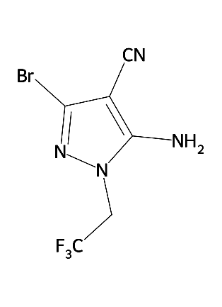 N#Cc1c(Br)nn(CC(F)(F)F)c1N